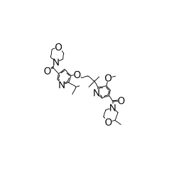 COc1cc(C(=O)N2CCOC(C)C2)cnc1C(C)(C)CCOc1cc(C(=O)N2CCOCC2)cnc1C(C)C